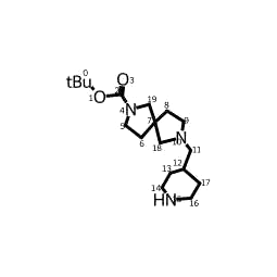 CC(C)(C)OC(=O)N1CCC2(CCN(CC3CCNCC3)C2)C1